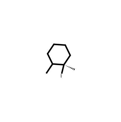 CC1CCCC[C@@]1(C)I